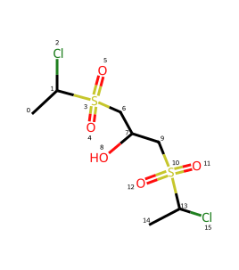 CC(Cl)S(=O)(=O)CC(O)CS(=O)(=O)C(C)Cl